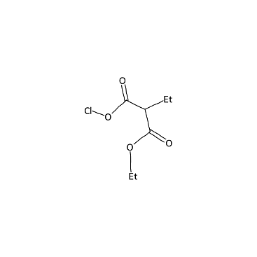 CCOC(=O)C(CC)C(=O)OCl